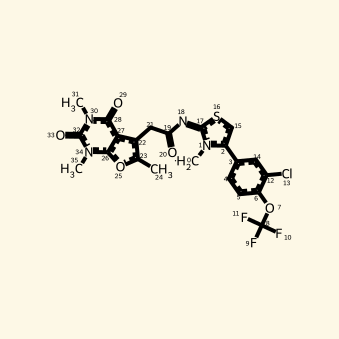 [CH2]n1c(-c2ccc(OC(F)(F)F)c(Cl)c2)csc1=NC(=O)Cc1c(C)oc2c1c(=O)n(C)c(=O)n2C